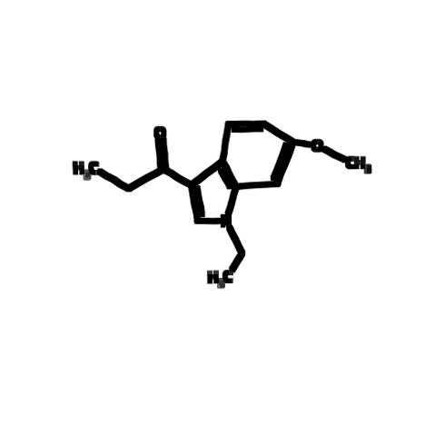 CCC(=O)c1cn(CC)c2cc(OC)ccc12